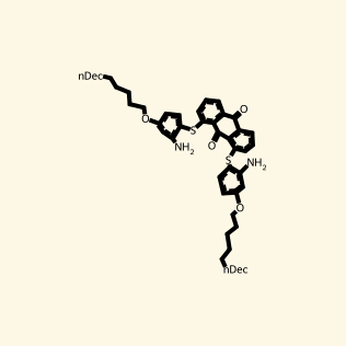 CCCCCCCCCCCCCCCOc1ccc(Sc2cccc3c2C(=O)c2c(Sc4ccc(OCCCCCCCCCCCCCCC)cc4N)cccc2C3=O)c(N)c1